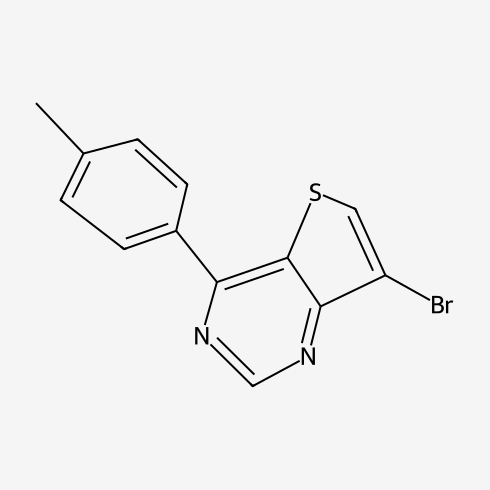 Cc1ccc(-c2ncnc3c(Br)csc23)cc1